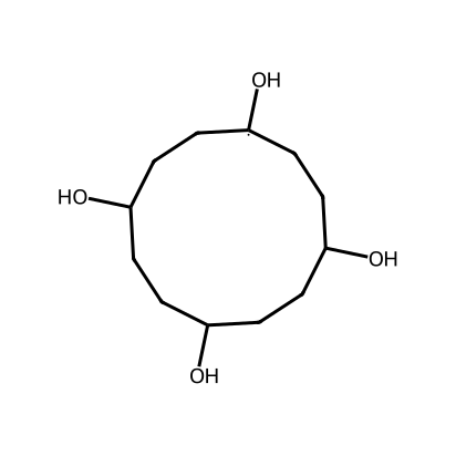 O[C]1CCC(O)CCC(O)CCC(O)CC1